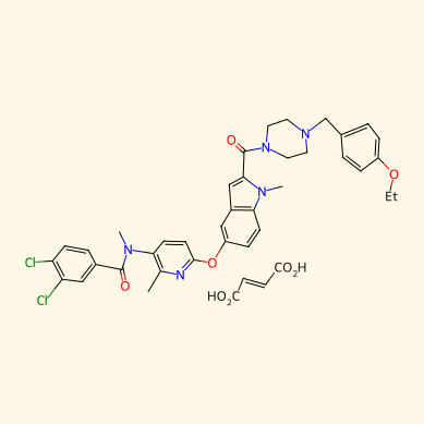 CCOc1ccc(CN2CCN(C(=O)c3cc4cc(Oc5ccc(N(C)C(=O)c6ccc(Cl)c(Cl)c6)c(C)n5)ccc4n3C)CC2)cc1.O=C(O)C=CC(=O)O